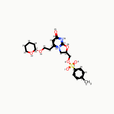 Cc1ccc(S(=O)(=O)OCC2Cn3c(CCO[C@H]4CCCCO4)cc(=O)nc3O2)cc1